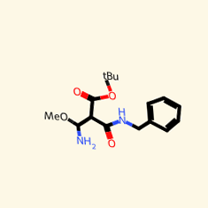 COC(N)C(C(=O)NCc1ccccc1)C(=O)OC(C)(C)C